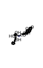 C[C@@H]1C[C@H]2[C@@H]3CCC4=CC(=O)C=C[C@]4(C)[C@@]3(F)[C@@H](O)C[C@]2(C)C1OC(=O)CCC/C=C\C[C@@H]1[C@@H](CC[C@@H](O)CCc2ccccc2)[C@H](O)C[C@@H]1O